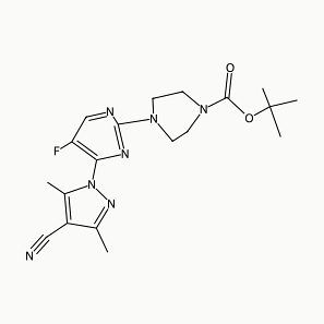 Cc1nn(-c2nc(N3CCN(C(=O)OC(C)(C)C)CC3)ncc2F)c(C)c1C#N